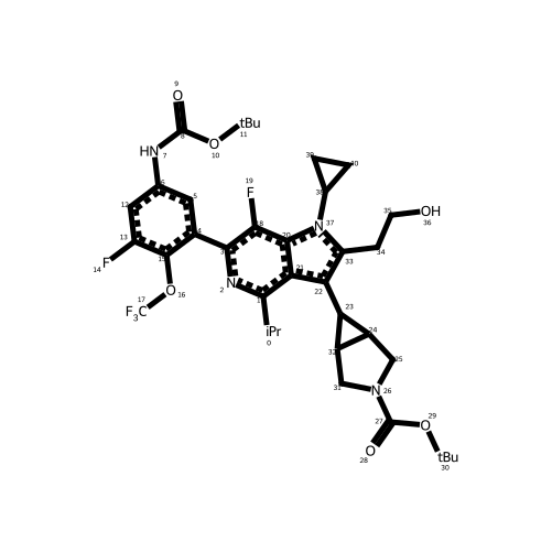 CC(C)c1nc(-c2cc(NC(=O)OC(C)(C)C)cc(F)c2OC(F)(F)F)c(F)c2c1c(C1C3CN(C(=O)OC(C)(C)C)CC31)c(CCO)n2C1CC1